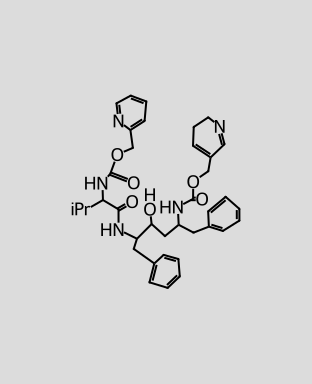 CC(C)C(NC(=O)OCc1ccccn1)C(=O)NC(Cc1ccccc1)C(O)CC(Cc1ccccc1)NC(=O)OCC1=CCCN=C1